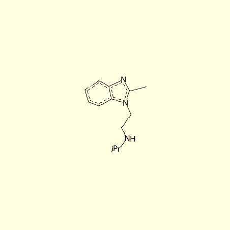 Cc1nc2ccccc2n1CCNC(C)C